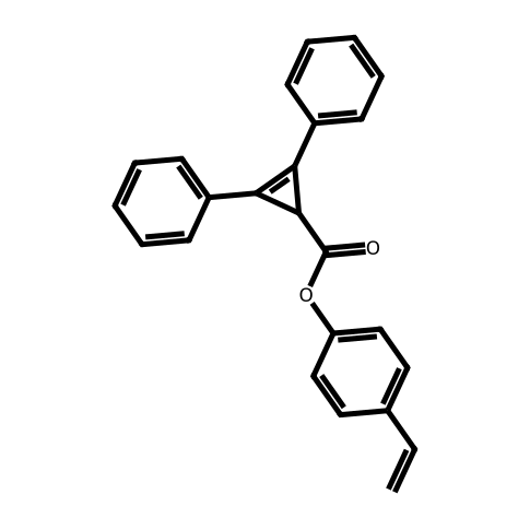 C=Cc1ccc(OC(=O)C2C(c3ccccc3)=C2c2ccccc2)cc1